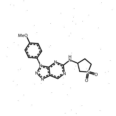 COc1ccc(-n2nnc3cnc(NC4CCS(=O)(=O)C4)nc32)cc1